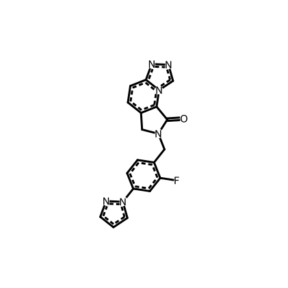 O=C1c2c(ccc3nncn23)CN1Cc1ccc(-n2cccn2)cc1F